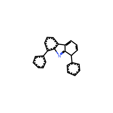 C1=C[C](c2ccccc2)C2=Nc3c(cccc3-c3ccccc3)C2=C1